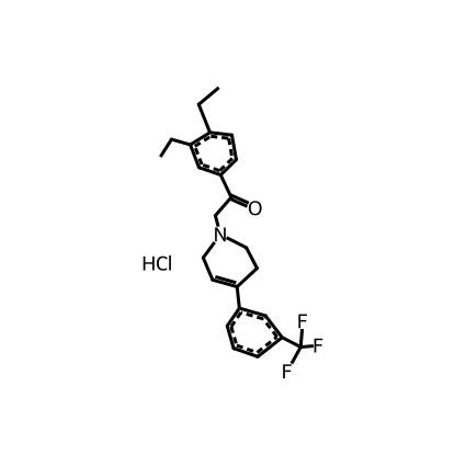 CCc1ccc(C(=O)CN2CC=C(c3cccc(C(F)(F)F)c3)CC2)cc1CC.Cl